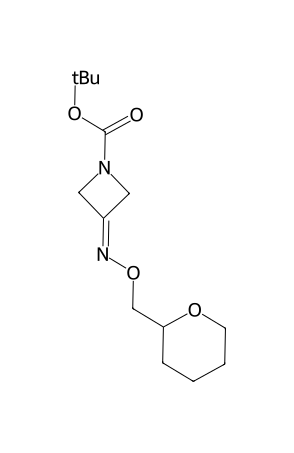 CC(C)(C)OC(=O)N1CC(=NOCC2CCCCO2)C1